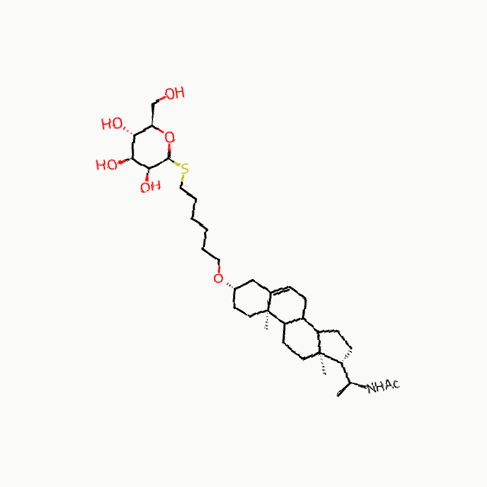 CC(=O)N[C@@H](C)[C@H]1CCC2C3CC=C4C[C@@H](OCCCCCCS[C@@H]5O[C@H](CO)[C@@H](O)[C@H](O)[C@@H]5O)CC[C@]4(C)C3CC[C@@]21C